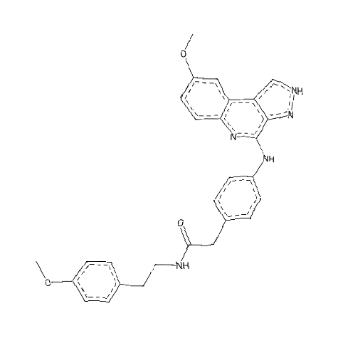 COc1ccc(CCNC(=O)Cc2ccc(Nc3nc4ccc(OC)cc4c4c[nH]nc34)cc2)cc1